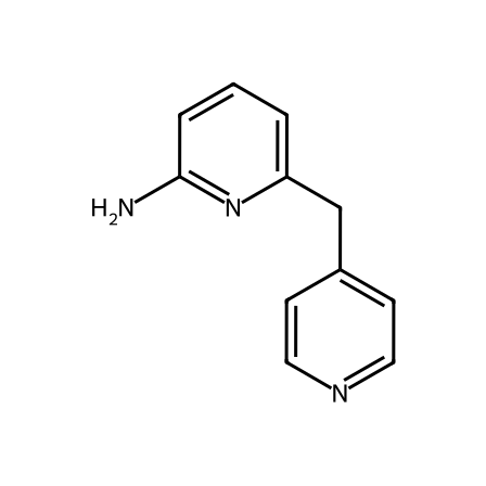 Nc1cccc(Cc2ccncc2)n1